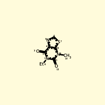 CCn1c(=O)c2ncsc2n(C)c1=O